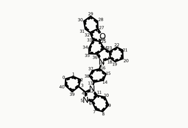 c1ccc(-c2nc3ccccc3n2-c2ccc(-n3c4ccccc4c4c5oc6ccccc6c5ccc43)cc2)cc1